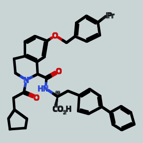 CC(C)c1ccc(COc2ccc3c(c2)C(C(=O)N[C@@H](Cc2ccc(-c4ccccc4)cc2)C(=O)O)N(C(=O)CC2CCCC2)CC3)cc1